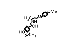 COc1ccc(COCCC(C)NCC(O)c2ccc(O)c([S+](C)[O-])c2)cc1